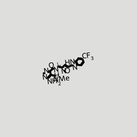 CNCc1c(N)ncnc1C(=O)N[C@H](C)c1cc(-c2nc3ccc(C(F)(F)F)cc3[nH]2)on1